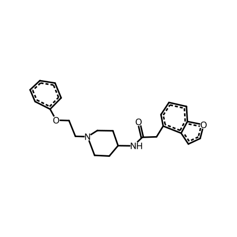 O=C(Cc1cccc2occc12)NC1CCN(CCOc2ccccc2)CC1